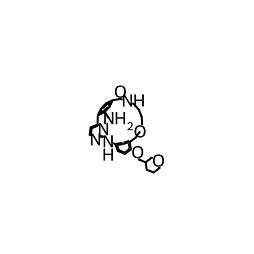 Nc1cc2ccc1-c1ccnc(n1)Nc1ccc(OCC3CCCOC3)c(c1)COCCCCNC2=O